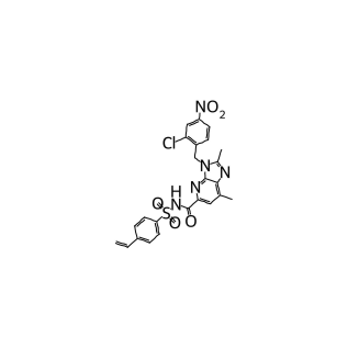 C=Cc1ccc(S(=O)(=O)NC(=O)c2cc(C)c3nc(C)n(Cc4ccc([N+](=O)[O-])cc4Cl)c3n2)cc1